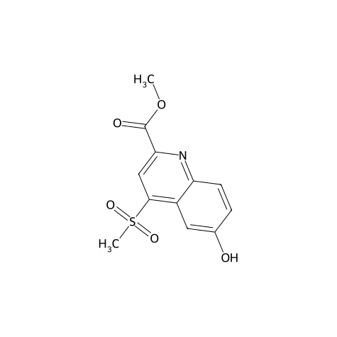 COC(=O)c1cc(S(C)(=O)=O)c2cc(O)ccc2n1